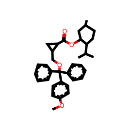 COc1ccc(C(OCC2CC2C(=O)OC2CC(C)CCC2C(C)C)(c2ccccc2)c2ccccc2)cc1